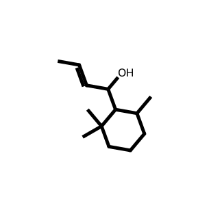 CC=CC(O)C1C(C)CCCC1(C)C